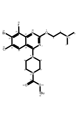 CN(C)CCOc1nc(N2CCN(C(=O)OC(C)(C)C)CC2)c2cc(Cl)c(Br)c(F)c2n1